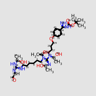 CB(O)/N=C(\N(CCCCCCN/C(=N\BC=O)NB(C)O)B(C)O)N(CCCCOc1ccc(C(=N)NC(=O)OC(C)(C)C)cc1)B(C)O